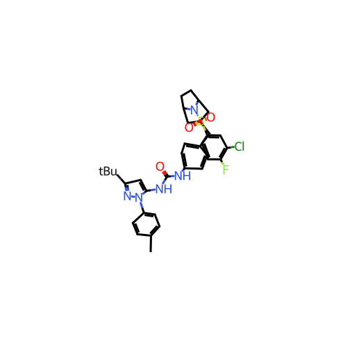 Cc1ccc(-n2nc(C(C)(C)C)cc2NC(=O)Nc2ccc(CC3CC4CCC(C3)N4S(=O)(=O)c3ccc(F)c(Cl)c3)cc2)cc1